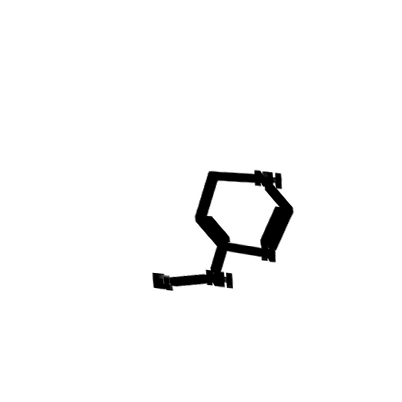 CCNC1=CCNC=N1